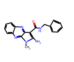 Cn1c(N)c(C(=O)NCc2ccccc2)c2nc3ccccc3nc21